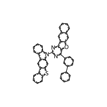 c1ccc(-c2cccc(-c3nc(-n4c5ccccc5c5cc6c(cc54)sc4ccccc46)nc4c3oc3cc5ccccc5cc34)c2)cc1